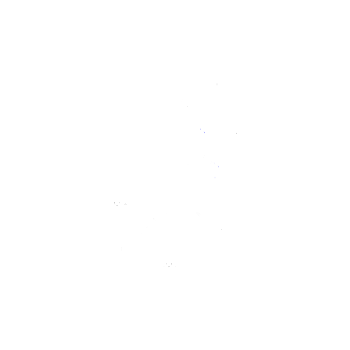 C=C(c1cc(OC)c(C)c(OC)c1)c1cnc(N(C)CC(=O)OC(C)(C)C)cc1C=O